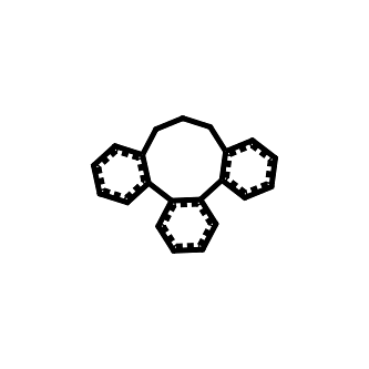 c1ccc2c(c1)CCCc1ccccc1-c1ccccc1-2